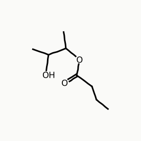 CCCC(=O)OC(C)C(C)O